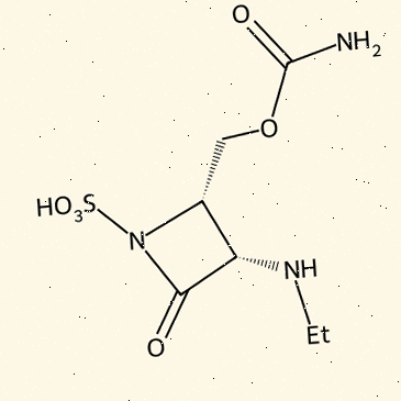 CCN[C@@H]1C(=O)N(S(=O)(=O)O)[C@@H]1COC(N)=O